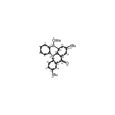 COB1c2ccccc2-n2c3ccc(C(C)(C)C)cc3c(=O)c3cc(C(C)(C)C)cc1c32